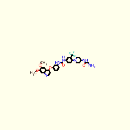 COc1cc2nccc(Oc3cccc(NC(=O)Nc4ccc(N5CCC(NC(=O)CN)CC5)c(C(F)(F)F)c4)c3)c2cc1OC